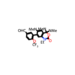 CCN1C(=O)OC(NC)(NC)c2cc(NC)c(-c3cc(C=O)ccc3OC(F)(F)F)cc21